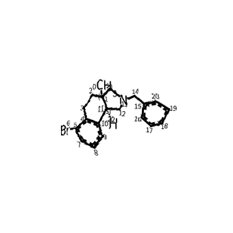 C[C@]12CCc3c(Br)cccc3[C@@H]1CN(Cc1ccccc1)C2